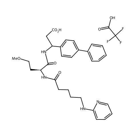 COCC[C@H](NC(=O)CCCCNc1ccccn1)C(=O)NC(CC(=O)O)c1ccc(-c2ccccc2)cc1.O=C(O)C(F)(F)F